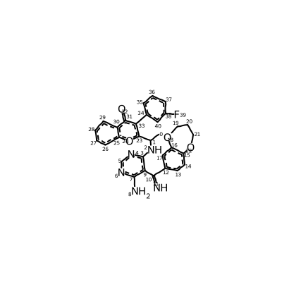 CC(Nc1ncnc(N)c1C(=N)c1ccc2c(c1)OCCCO2)c1oc2ccccc2c(=O)c1-c1cccc(F)c1